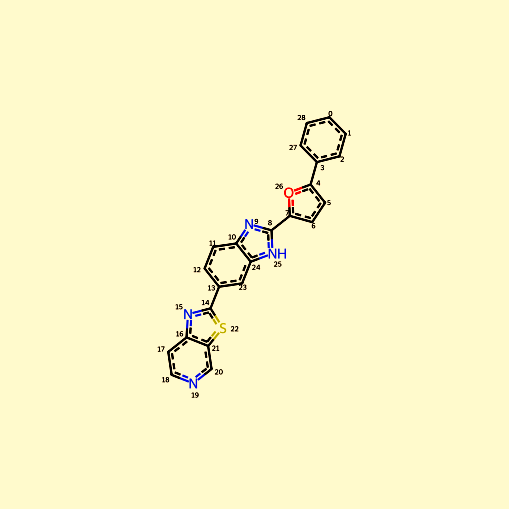 c1ccc(-c2ccc(-c3nc4ccc(-c5nc6ccncc6s5)cc4[nH]3)o2)cc1